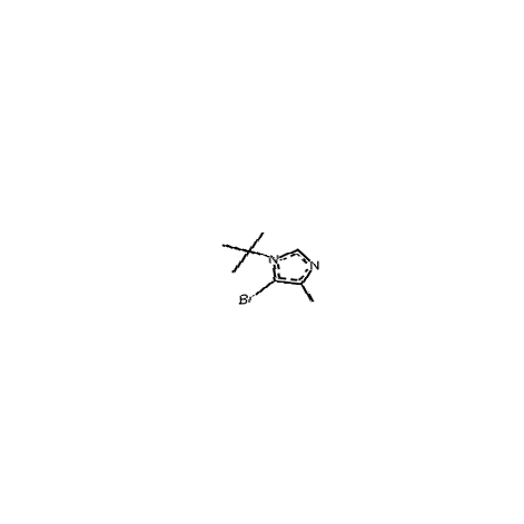 Cc1ncn(C(C)(C)C)c1Br